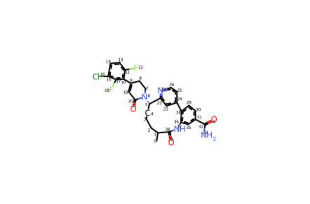 CC1CCC[C@H](N2CCC(c3c(F)ccc(Cl)c3F)=CC2=O)c2cc(ccn2)-c2ccc(C(N)=O)cc2NC1=O